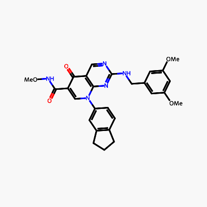 CONC(=O)c1cn(-c2ccc3c(c2)CCC3)c2nc(NCc3cc(OC)cc(OC)c3)ncc2c1=O